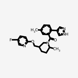 Cc1ccc(-c2cn[nH]c2)c(C(=O)N2CC(COc3ccc(F)cn3)CCC2C)c1